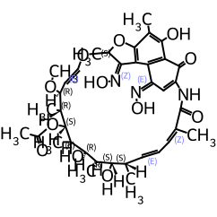 CO[C@H]1/C=C/O[C@@]2(C)Oc3c(C)c(O)c4c(c3/C2=N/O)/C(=N/O)C=C(NC(=O)/C(C)=C\C=C\[C@H](C)[C@H](O)[C@@H](C)[C@@H](O)[C@@H](C)[C@H](OC(C)=O)[C@@H]1C)C4=O